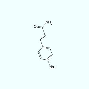 CC(C)(C)c1ccc(C=CC(N)=O)cc1